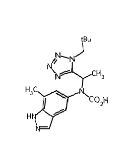 Cc1cc(N(C(=O)O)C(C)c2nnnn2CC(C)(C)C)cc2cn[nH]c12